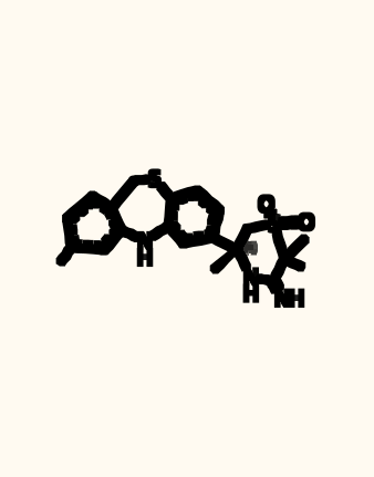 Cc1ccc2c(c1)Nc1cc([C@]3(C)CS(=O)(=O)C(C)(C)C(=N)N3)ccc1SC2